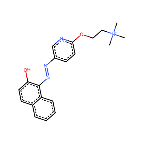 C[N+](C)(C)CCOc1ccc(/N=N/c2c(O)ccc3ccccc23)cn1